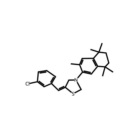 Cc1cc2c(cc1N1CSC(=Cc3cccc(Cl)c3)C1)C(C)(C)CCC2(C)C